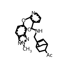 CC(=O)C1CC2C=CC1CC2CNC(=O)c1cccnc1Oc1ccc2nn(C)nc2c1